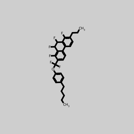 CCCCCc1ccc(OC(F)(F)c2ccc3c(c2F)C(F)C(F)c2c-3ccc(CCC)c2F)cc1